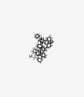 CC1(C)c2ccccc2-c2ccc3c4cc(-c5ccc6oc7cccc(-c8nc(-c9ccccc9)nc(-c9ccccc9)n8)c7c6c5)ccc4n(-c4ccccc4)c3c21